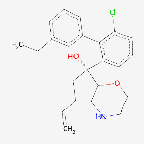 C=CCC[C@@](O)(c1cccc(Cl)c1-c1cccc(CC)c1)C1CNCCO1